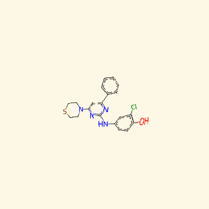 Oc1ccc(Nc2nc(-c3ccccc3)cc(N3CCSCC3)n2)cc1Cl